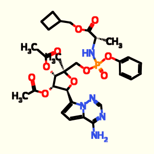 CC(=O)O[C@H]1[C@H](c2ccc3c(N)ncnn23)O[C@](C)(COP(=O)(N[C@@H](C)C(=O)OCC2CCC2)Oc2ccccc2)[C@H]1OC(C)=O